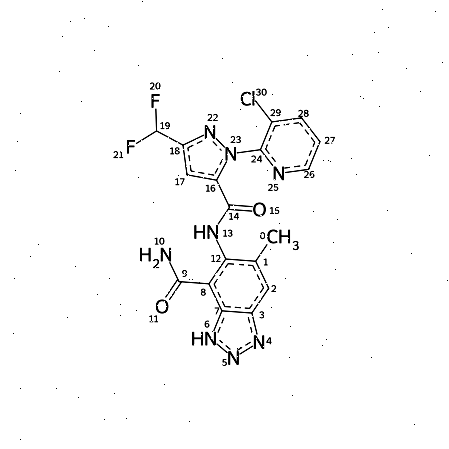 Cc1cc2nn[nH]c2c(C(N)=O)c1NC(=O)c1cc(C(F)F)nn1-c1ncccc1Cl